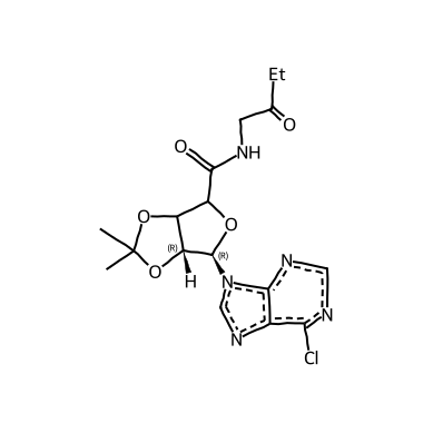 CCC(=O)CNC(=O)C1O[C@@H](n2cnc3c(Cl)ncnc32)[C@@H]2OC(C)(C)OC12